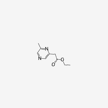 CCOC(=O)Cc1cncc(C)n1